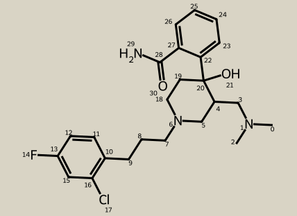 CN(C)CC1CN(CCCc2ccc(F)cc2Cl)CCC1(O)c1ccccc1C(N)=O